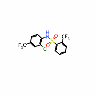 O=S(=O)(Nc1ccc(C(F)(F)F)cc1Cl)c1ccccc1C(F)(F)F